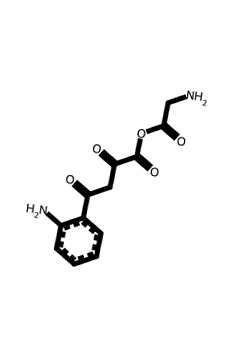 NCC(=O)OC(=O)C(=O)CC(=O)c1ccccc1N